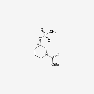 CC(C)COC(=O)N1CCC[C@@H](OS(C)(=O)=O)C1